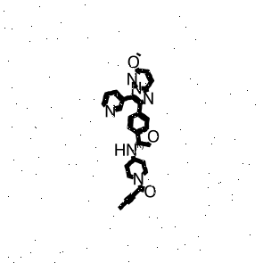 CC#CC(=O)N1CCC(N[C@H]2COc3cc(-c4nc5ccc(OC)nn5c4-c4cccnc4)ccc32)CC1